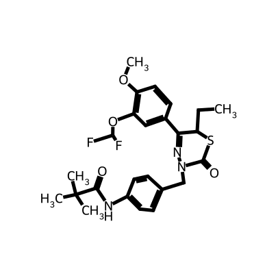 CCC1SC(=O)N(Cc2ccc(NC(=O)C(C)(C)C)cc2)N=C1c1ccc(OC)c(OC(F)F)c1